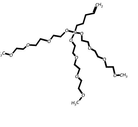 C=CCCC[Si](OCCOCCOCCOC)(OCCOCCOCCOC)OCCOCCOCCOC